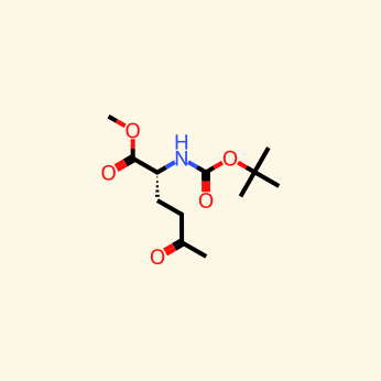 COC(=O)[C@@H](CCC(C)=O)NC(=O)OC(C)(C)C